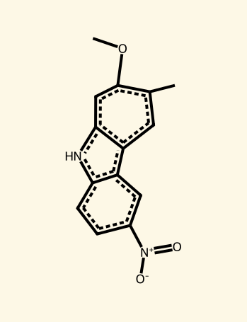 COc1cc2[nH]c3ccc([N+](=O)[O-])cc3c2cc1C